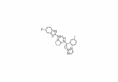 Cc1ccc(-n2ccnn2)c(C(=O)N[C@@H]2CCC[C@H]2Nc2nc3ccc(F)cc3s2)c1